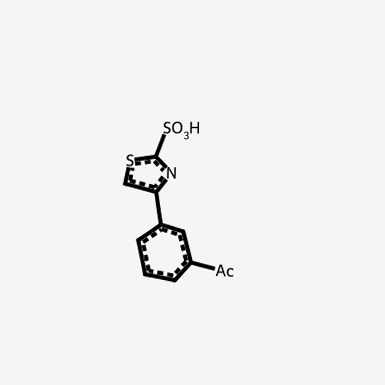 CC(=O)c1cccc(-c2csc(S(=O)(=O)O)n2)c1